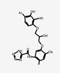 CCCc1c(OCC(O)COc2cc(NC(=O)c3nnn[nH]3)c(C)cc2C#N)ccc(C(C)=O)c1O